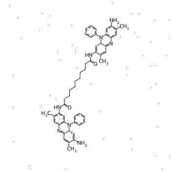 CC1=CC2=Nc3cc(C)c(NC(=O)CCCCCCCCCC(=O)NC4=CC5C(=Nc6cc(C)c(N)cc6N5c5ccccc5)C=C4C)cc3N(c3ccccc3)C2C=C1N